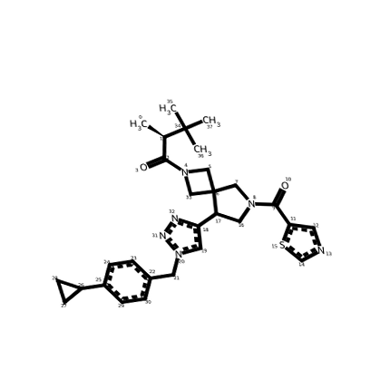 C[C@H](C(=O)N1CC2(CN(C(=O)c3cncs3)CC2c2cn(Cc3ccc(C4CC4)cc3)nn2)C1)C(C)(C)C